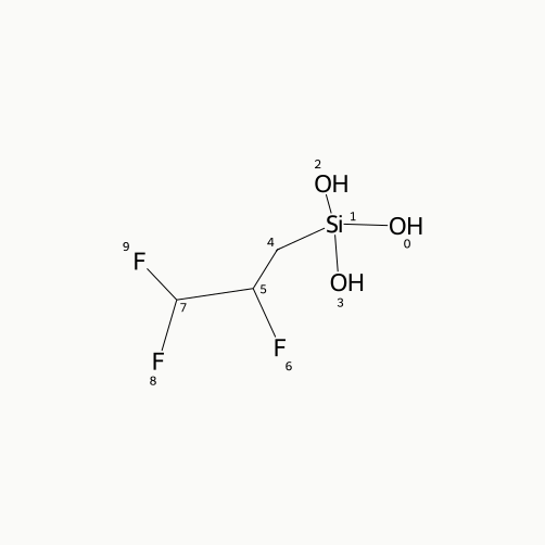 O[Si](O)(O)CC(F)C(F)F